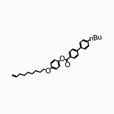 C=CCCCCCCCOc1ccc(OC(=O)c2ccc(-c3ccc(CCCC)cc3)cc2)cc1